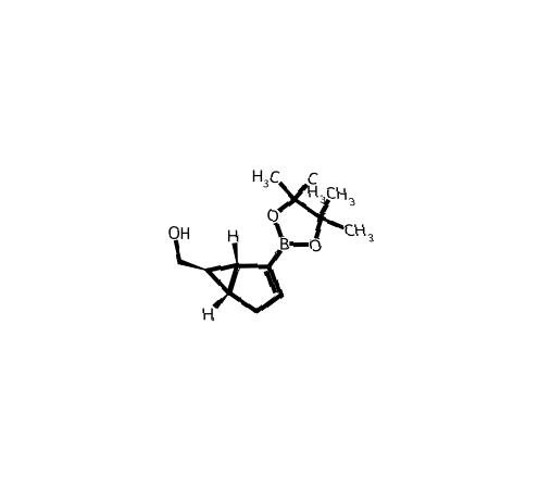 CC1(C)OB(C2=CC[C@@H]3[C@@H](CO)[C@H]23)OC1(C)C